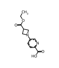 CCOC(=O)C1CN(c2ccc(C(=O)O)nc2)C1